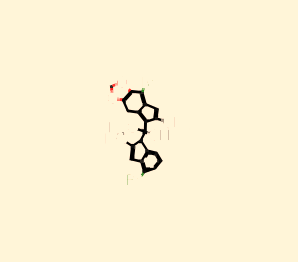 CC1=CC2=C(Br)C3=C(CC2=C1C(C)(C)C1C(C)=Cc2c(Br)cccc21)OCO3